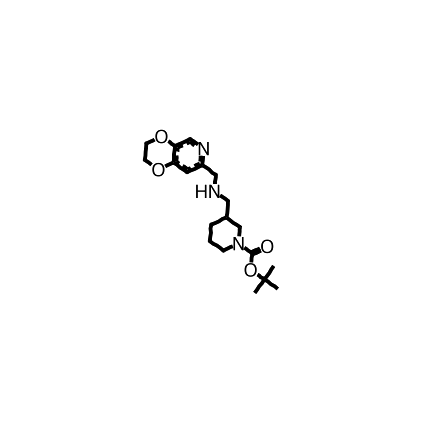 CC(C)(C)OC(=O)N1CCCC(CNCc2cc3c(cn2)OCCO3)C1